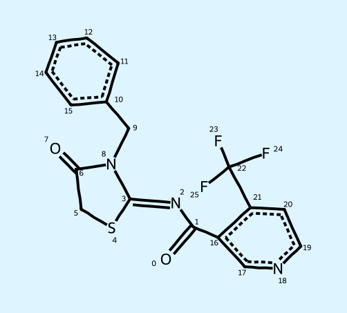 O=C(N=C1SCC(=O)N1Cc1ccccc1)c1cnccc1C(F)(F)F